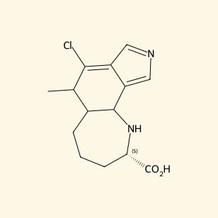 CC1C(Cl)=C2C=NC=C2C2N[C@H](C(=O)O)CCCC12